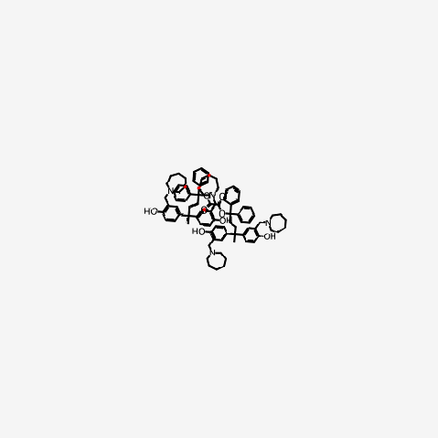 CC(CCC(OC(=O)C(=O)OC(CCC(C)(c1ccc(O)c(CN2CCCCCC2)c1)c1ccc(O)c(CN2CCCCCC2)c1)(c1ccccc1)c1ccccc1)(c1ccccc1)c1ccccc1)(c1ccc(O)c(CN2CCCCCC2)c1)c1ccc(O)c(CN2CCCCCC2)c1